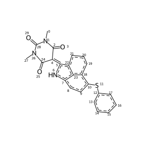 CN1C(=O)C(=c2[nH]c3ccc(Sc4ccccc4)c4cccc2c34)C(=O)N(C)C1=O